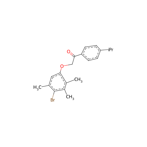 Cc1cc(OCC(=O)c2ccc(C(C)C)cc2)c(C)c(C)c1Br